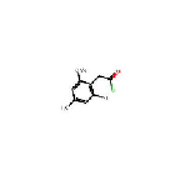 CCc1cc(C)cc(OC)c1CC(=O)Cl